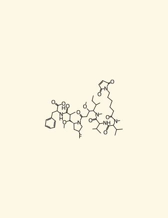 CCC(C)C(C(CC(=O)N1C[C@@H](F)C[C@H]1C(OC)C(C)C(=O)NC(Cc1ccccc1)C(=O)O)OC)N(C)C(=O)C(NC(=O)C(C(C)C)N(C)C(=O)CCCCCN1C(=O)C=CC1=O)C(C)C